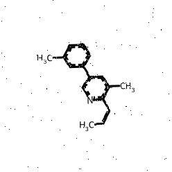 C/C=C\c1ncc(-c2cccc(C)c2)cc1C